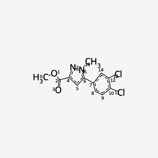 COC(=O)c1cc(-c2ccc(Cl)c(Cl)c2)n(C)n1